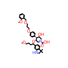 COCCCC(O[C@H]1CN(C(=O)O)C[C@@H](O)[C@@H]1c1ccc(OCCCOCc2ccccc2OC)cc1)c1ccc2c(c1)NCC2(C)C